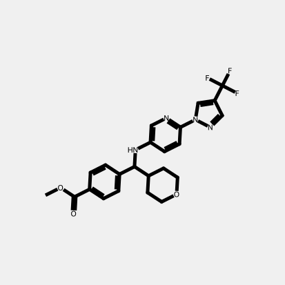 COC(=O)c1ccc(C(Nc2ccc(-n3cc(C(F)(F)F)cn3)nc2)C2CCOCC2)cc1